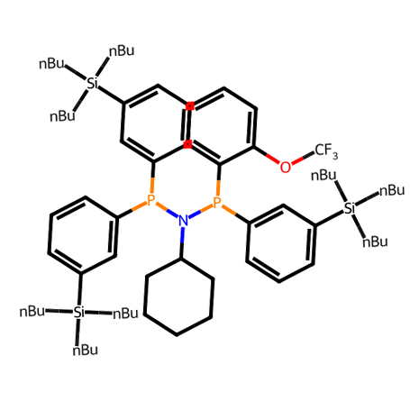 CCCC[Si](CCCC)(CCCC)c1cccc(P(c2cccc([Si](CCCC)(CCCC)CCCC)c2)N(C2CCCCC2)P(c2cccc([Si](CCCC)(CCCC)CCCC)c2)c2ccccc2OC(F)(F)F)c1